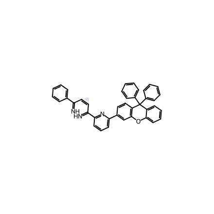 N=C(/C=C\C(=N)c1cccc(-c2ccc3c(c2)Oc2ccccc2C3(c2ccccc2)c2ccccc2)n1)c1ccccc1